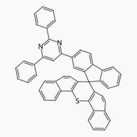 c1ccc(-c2cc(-c3ccc4c(c3)C3(c5ccccc5-4)c4ccc5ccccc5c4Sc4c3ccc3ccccc43)nc(-c3ccccc3)n2)cc1